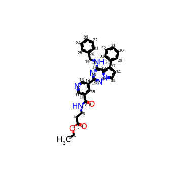 CCOC(=O)CCNC(=O)c1cncc(-c2nc(NCc3ccccc3)c3c(-c4ccccc4)ccn3n2)c1